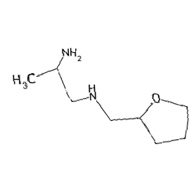 CC(N)CNCC1CCCO1